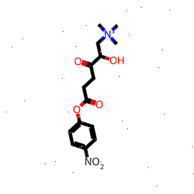 C[N+](C)(C)CC(O)C(=O)CCC(=O)Oc1ccc([N+](=O)[O-])cc1